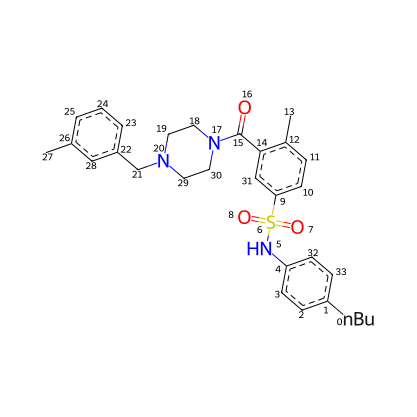 CCCCc1ccc(NS(=O)(=O)c2ccc(C)c(C(=O)N3CCN(Cc4cccc(C)c4)CC3)c2)cc1